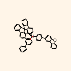 c1ccc(-c2ccc(N(c3ccc(-c4ccc5oc6ccccc6c5c4)cc3)c3ccc4c(c3)C3(c5ccccc5-4)c4ccccc4-c4ccc5ccccc5c43)cc2)cc1